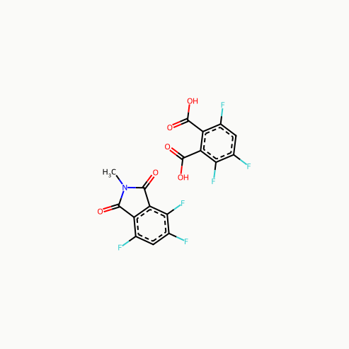 CN1C(=O)c2c(F)cc(F)c(F)c2C1=O.O=C(O)c1c(F)cc(F)c(F)c1C(=O)O